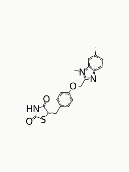 Cc1ccc2nc(COc3ccc(CC4SC(=O)NC4=O)cc3)n(C)c2c1